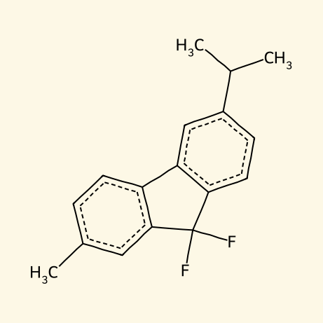 Cc1ccc2c(c1)C(F)(F)c1ccc(C(C)C)cc1-2